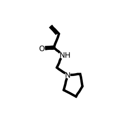 C=CC(=O)NCN1CCCC1